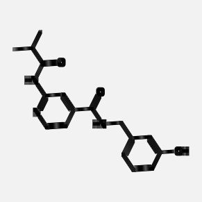 CC(C)C(=O)Nc1cc(C(=O)NCc2cccc(O)c2)ccn1